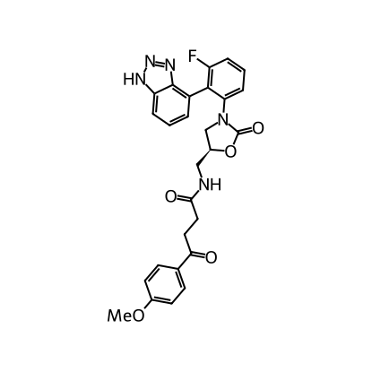 COc1ccc(C(=O)CCC(=O)NC[C@H]2CN(c3cccc(F)c3-c3cccc4[nH]nnc34)C(=O)O2)cc1